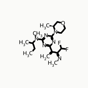 C=C(/C(=N\C)C(F)F)c1nc(N(C)C(C)CC)nc(N2CCOC[C@@H]2C)n1